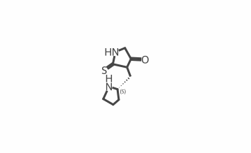 O=C1CNC(=S)C1C[C@@H]1CCCN1